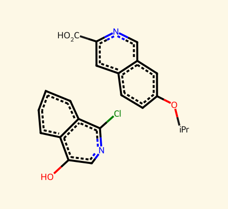 CC(C)Oc1ccc2cc(C(=O)O)ncc2c1.Oc1cnc(Cl)c2ccccc12